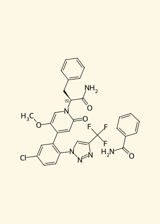 COc1cn([C@@H](Cc2ccccc2)C(N)=O)c(=O)cc1-c1cc(Cl)ccc1-n1cc(C(F)(F)F)nn1.NC(=O)c1ccccc1